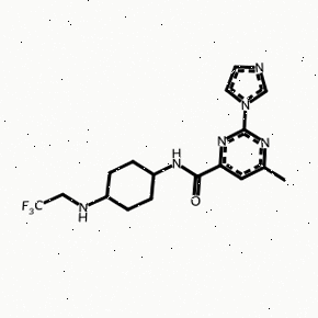 Cc1cc(C(=O)NC2CCC(NCC(F)(F)F)CC2)nc(-n2ccnc2)n1